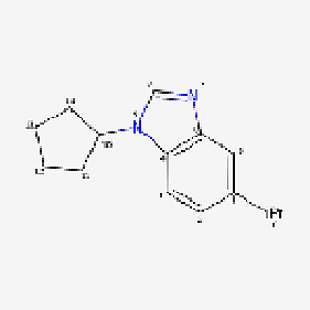 CC(C)c1ccc2c(c1)ncn2C1CCCC1